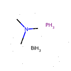 CN(C)C.P.[BiH3]